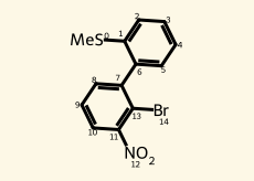 CSc1ccccc1-c1cccc([N+](=O)[O-])c1Br